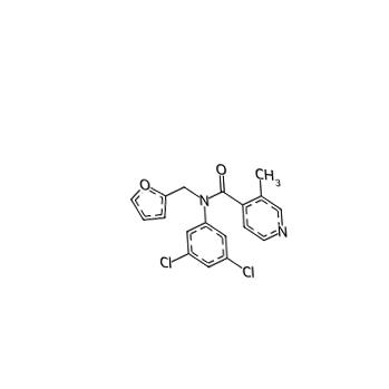 Cc1cnccc1C(=O)N(Cc1ccco1)c1cc(Cl)cc(Cl)c1